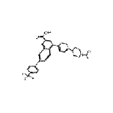 CC(=O)N1CCC(c2ccc(-c3cc(C(=O)O)cc4cc(-c5ccc(C(F)(F)F)cc5)ccc34)cc2)CC1